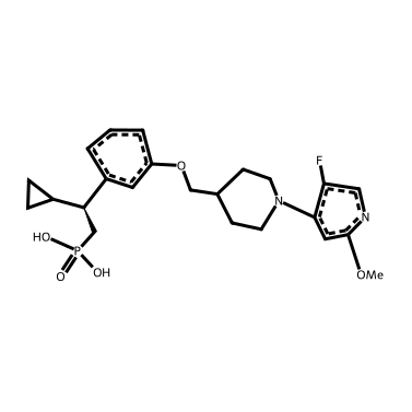 COc1cc(N2CCC(COc3cccc([C@@H](CP(=O)(O)O)C4CC4)c3)CC2)c(F)cn1